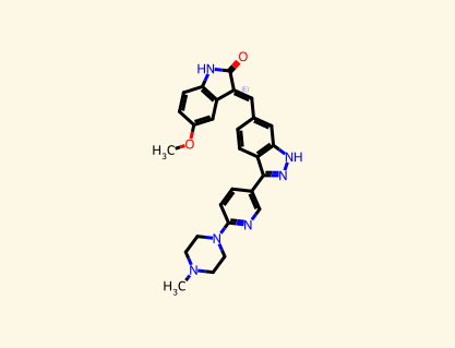 COc1ccc2c(c1)/C(=C\c1ccc3c(-c4ccc(N5CCN(C)CC5)nc4)n[nH]c3c1)C(=O)N2